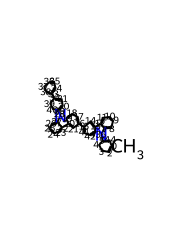 CC1=CCCC(n2c3ccccc3c3cc(-c4ccc5c(c4)c4ccccc4n5C4=CC=C(C5=CC=CCC5)CC4)ccc32)=C1